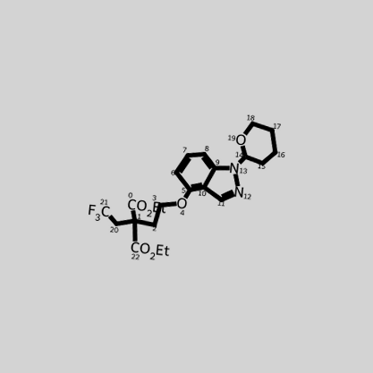 CCOC(=O)C(CCOc1cccc2c1cnn2C1CCCCO1)(CC(F)(F)F)C(=O)OCC